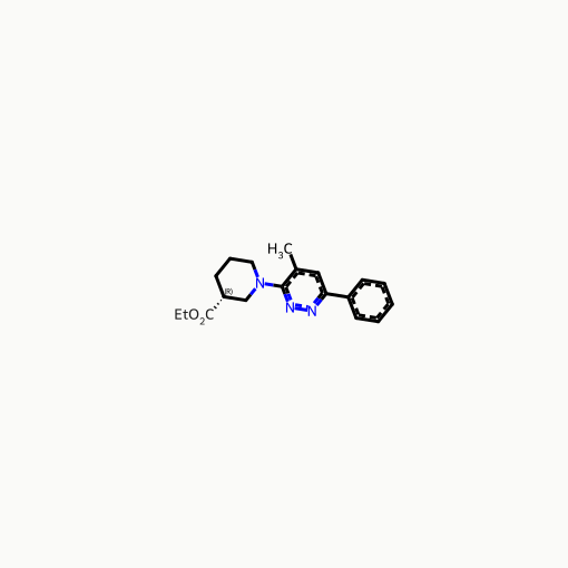 CCOC(=O)[C@@H]1CCCN(c2nnc(-c3ccccc3)cc2C)C1